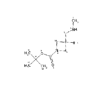 CNCC1(F)CN(C(=O)OC(C)(C)C)C1